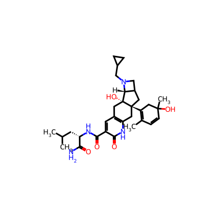 CC1=C([C@@]23Cc4[nH]c(=O)c(C(=O)N[C@@H](CC(C)C)C(N)=O)cc4C[C@@]2(O)[C@H]2C(CN2CC2CC2)C3)CC(C)(O)C=C1